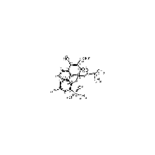 CN(C)C(=O)C[N+]1(Cc2ccc(F)cc2S(C)(=O)=O)C(=O)C(C(=O)[O-])=C(O)c2ncccc21